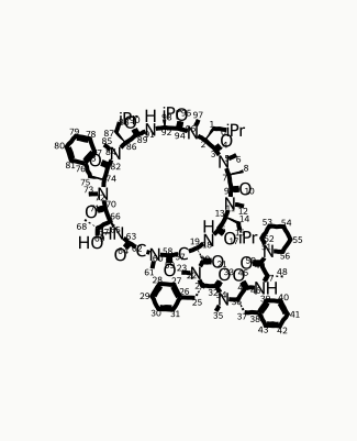 CC(C)C[C@H]1C(=O)N(C)[C@@H](C)C(=O)N(C)[C@@H](CC(C)C)C(=O)N[C@H](C(=O)N(C)[C@@H](Cc2ccccc2)C(=O)N(C)[C@@H](Cc2ccccc2)C(=O)N[C@@H](C)C(=O)N2CCCCC2)CC(=O)N(C)CC(=O)N[C@@H]([C@@H](C)O)C(=O)N(C)[C@@H](Cc2ccccc2)C(=O)N(C)[C@@H](CC(C)C)C(=O)N[C@@H](C(C)C)C(=O)N1C